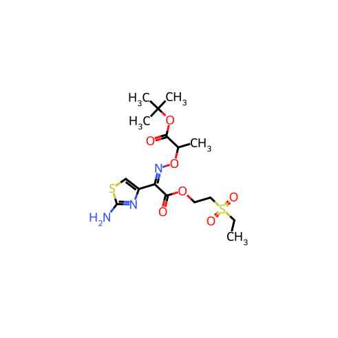 CCS(=O)(=O)CCOC(=O)/C(=N\OC(C)C(=O)OC(C)(C)C)c1csc(N)n1